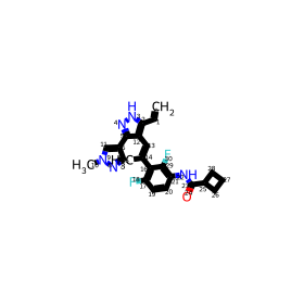 C=Cc1[nH]nc(-c2cnn(C)c2)c1/C=C(\C)c1c(F)ccc(NC(=O)C2CCC2)c1F